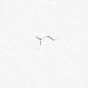 CCC=CC(=O)OC(=O)O